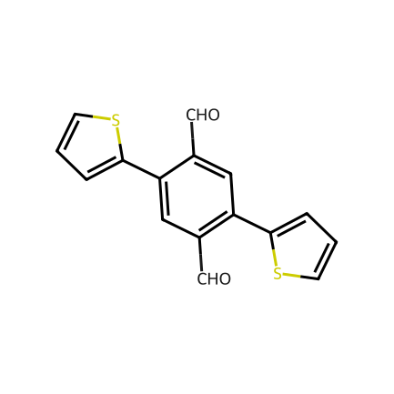 O=Cc1cc(-c2cccs2)c(C=O)cc1-c1cccs1